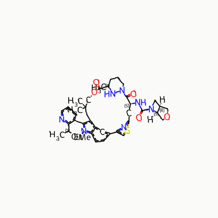 CCn1c(-c2cccnc2[C@H](C)OC)c2c3cc(ccc31)-c1csc(n1)C[C@H](NC(=O)N1C[C@H]3COC[C@H]31)C(=O)N1CCC[C@@](C)(N1)C(=O)OCC(C)(C)C2